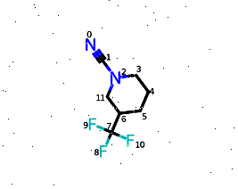 N#CN1CCCC(C(F)(F)F)C1